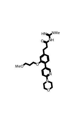 CNC(=N)NC(=O)CCc1ccc(-c2ccc(N3CCOCC3)nc2)c(OCCCOC)c1